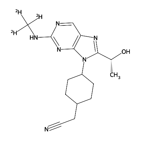 [2H]C([2H])([2H])Nc1ncc2nc([C@@H](C)O)n(C3CCC(CC#N)CC3)c2n1